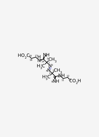 CC(C)(/N=N/C(C)(C)C(=N)NCCC(=O)O)C(=N)NCCC(=O)O